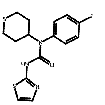 O=C(Nc1nccs1)N(c1ccc(F)cc1)C1CCSCC1